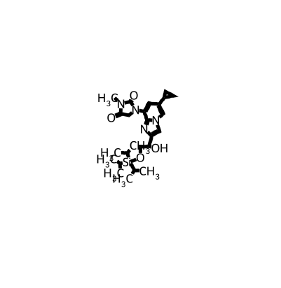 CC(C)[Si](OCC(O)c1cn2cc(C3CC3)cc(N3CC(=O)N(C)C3=O)c2n1)(C(C)C)C(C)C